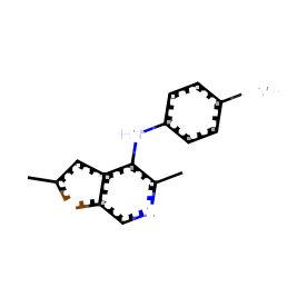 COc1ccc(Nc2c(C)ncc3sc(C)cc23)cc1